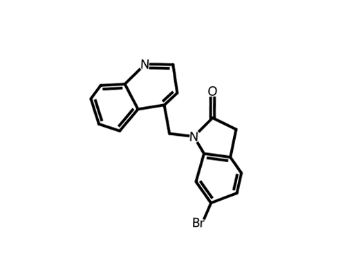 O=C1Cc2ccc(Br)cc2N1Cc1ccnc2ccccc12